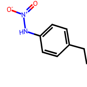 CCc1ccc(N[N+](=O)[O-])cc1